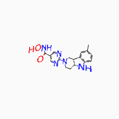 Cc1ccc2c(c1)C1CN(c3ncc(C(=O)NO)cn3)CCC1N2